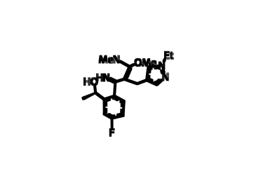 CCn1cc(C/C(C(=N)c2ccc(F)cc2[C@@H](C)O)=C(/NC)OC)cn1